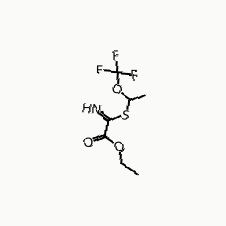 CCOC(=O)C(=N)SC(C)OC(F)(F)F